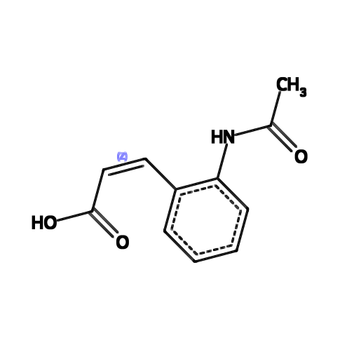 CC(=O)Nc1ccccc1/C=C\C(=O)O